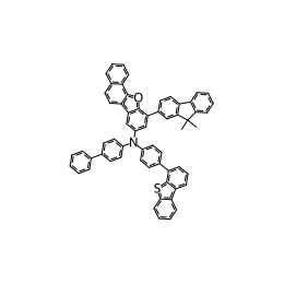 CC1(C)c2ccccc2-c2ccc(-c3cc(N(c4ccc(-c5ccccc5)cc4)c4ccc(-c5cccc6c5sc5ccccc56)cc4)cc4c3oc3c5ccccc5ccc43)cc21